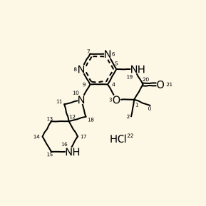 CC1(C)Oc2c(ncnc2N2CC3(CCCNC3)C2)NC1=O.Cl